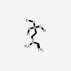 C=C[SiH](C)CC[Si](OCC)(OCC)OCC